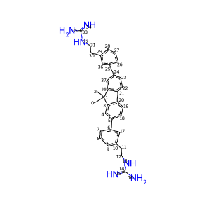 CC1(C)c2cc(-c3cccc(CCNC(=N)N)c3)ccc2-c2ccc(-c3cccc(CCNC(=N)N)c3)cc21